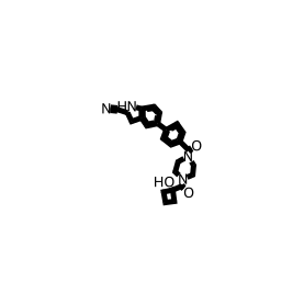 N#CC1Cc2cc(-c3ccc(C(=O)N4CCN(C(=O)C5(O)CCC5)CC4)cc3)ccc2N1